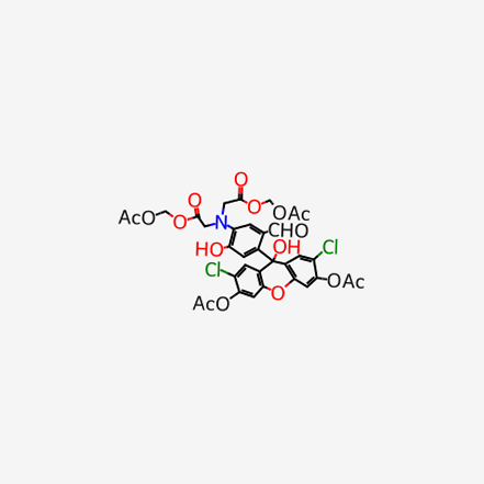 CC(=O)OCOC(=O)CN(CC(=O)OCOC(C)=O)c1cc(C=O)c(C2(O)c3cc(Cl)c(OC(C)=O)cc3Oc3cc(OC(C)=O)c(Cl)cc32)cc1O